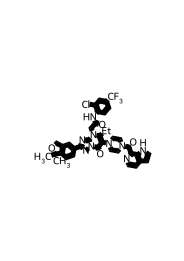 CCc1c(N2CCN(C(=O)c3nccc4cc[nH]c34)CC2)c(=O)n2nc(-c3ccc4c(c3)COC4(C)C)nc2n1CC(=O)Nc1ccc(C(F)(F)F)cc1Cl